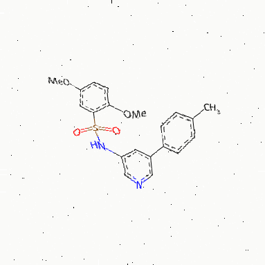 COc1ccc(OC)c(S(=O)(=O)Nc2cncc(-c3ccc(C)cc3)c2)c1